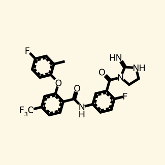 Cc1cc(F)ccc1Oc1cc(C(F)(F)F)ccc1C(=O)Nc1ccc(F)c(C(=O)N2CCNC2=N)c1